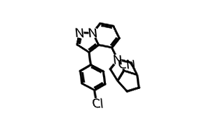 N#CC1C2CCC1CN(c1cccn3ncc(-c4ccc(Cl)cc4)c13)C2